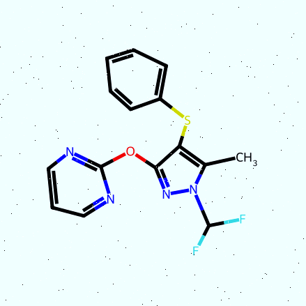 Cc1c(Sc2ccccc2)c(Oc2ncccn2)nn1C(F)F